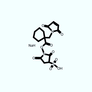 O=C1C=CC(=O)N1CC1(C(=O)ON2C(=O)CC(S(=O)(=O)O)C2=O)CCCCC1.[NaH]